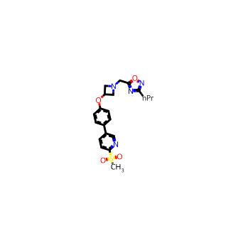 CCCc1noc(CN2CC(Oc3ccc(-c4ccc(S(C)(=O)=O)nc4)cc3)C2)n1